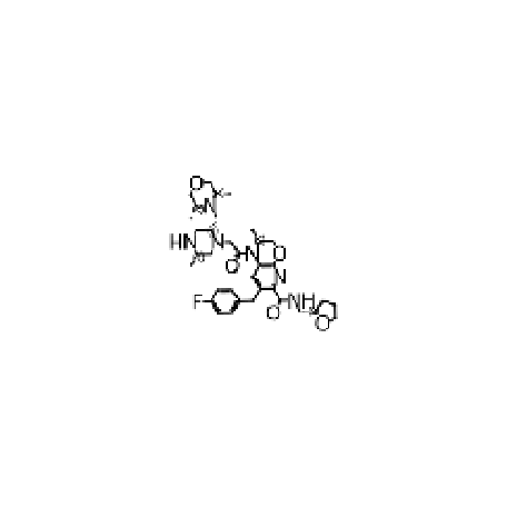 C[C@@H]1CN(CC(=O)N2c3cc(Cc4ccc(F)cc4)c(C(=O)NC[C@@H]4CCCO4)nc3OC[C@@H]2C)[C@@H](CN2[C@H](C)COC[C@H]2C)CN1